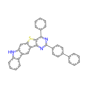 c1ccc(-c2ccc(-c3nc(-c4ccccc4)c4sc5cc6[nH]c7ccccc7c6cc5c4n3)cc2)cc1